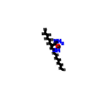 CCCCCCCCNCC(CCCCCC)C(N)=O